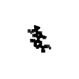 CC[C@H](N)c1nccc(-c2[nH]c(C3(C)CC3)nc2Br)n1.N